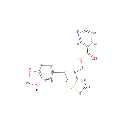 O=C(OCCC1(CCc2ccc3c(c2)OCO3)SC=CS1)c1cccnc1